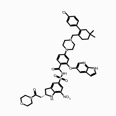 CC1(C)CCC(CN2CCN(c3ccc(C(=O)NS(=O)(=O)c4cc5c(c([N+](=O)[O-])c4)N[C@H](CC(=O)N4CCOCC4)C5)c(Oc4cnc5[nH]ccc5c4)c3)CC2)=C(c2ccc(Cl)cc2)C1